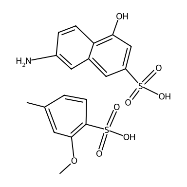 COc1cc(C)ccc1S(=O)(=O)O.Nc1ccc2c(O)cc(S(=O)(=O)O)cc2c1